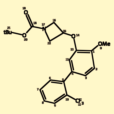 COc1ccc(-c2ccccc2C(F)(F)F)cc1OC1CN(C(=O)OC(C)(C)C)C1